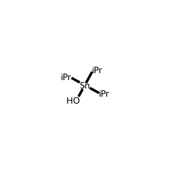 C[CH](C)[Sn]([OH])([CH](C)C)[CH](C)C